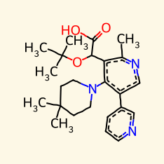 Cc1ncc(-c2cccnc2)c(N2CCC(C)(C)CC2)c1C(OC(C)(C)C)C(=O)O